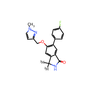 [2H]C1([2H])NC(=O)c2cc(-c3ccc(F)cc3)c(OCc3ccn(C)n3)cc21